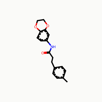 Cc1ccc(CCC(=O)Nc2ccc3c(c2)OCCO3)cc1